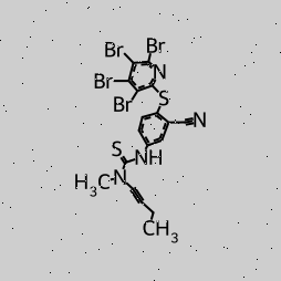 CCC#CN(C)C(=S)Nc1ccc(Sc2nc(Br)c(Br)c(Br)c2Br)c(C#N)c1